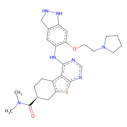 CN(C)C(=O)[C@H]1CCc2c(sc3ncnc(Nc4cc5c(cc4OCCN4CCCC4)NNC5)c23)C1